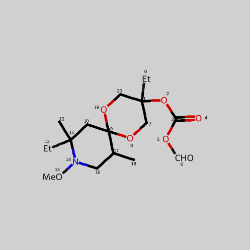 CCC1(OC(=O)OC=O)COC2(CC(C)(CC)N(OC)CC2C)OC1